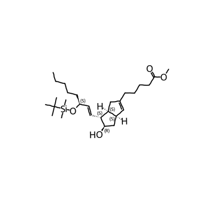 CCCCC[C@@H](C=C[C@@H]1[C@H]2CC(CCCCC(=O)OC)=C[C@H]2C[C@H]1O)O[Si](C)(C)C(C)(C)C